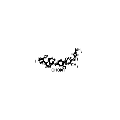 C[C@@H](NC(=O)c1ccc(Nc2nccn3c(-c4c[nH]nc4C(F)(F)F)cnc23)cc1Cl)C(=O)NC1CC(N)C1.O=CO